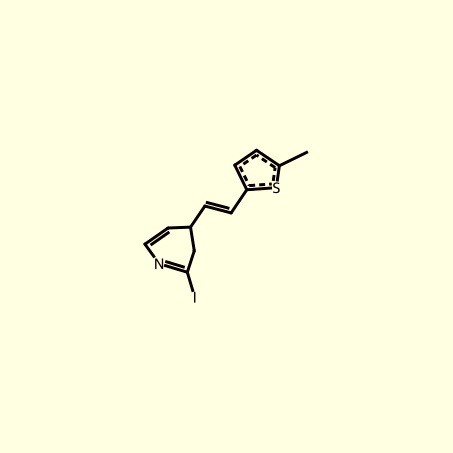 Cc1ccc(/C=C/C2C=CN=C(I)C2)s1